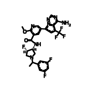 COc1ncc(-c2cc(C(F)(F)F)c3c(N)ncnn23)cc1C(=O)N[C@@H]1CN(C(C)c2cc(F)cc(F)c2)C[C@@H]1F